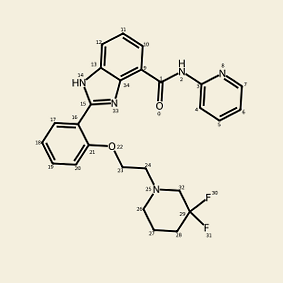 O=C(Nc1ccccn1)c1cccc2[nH]c(-c3ccccc3OCCN3CCCC(F)(F)C3)nc12